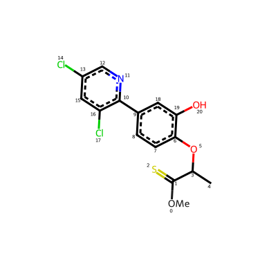 COC(=S)C(C)Oc1ccc(-c2ncc(Cl)cc2Cl)cc1O